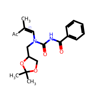 CC(=O)/C(C)=C\N(CC1COC(C)(C)O1)C(=O)NC(=O)c1ccccc1